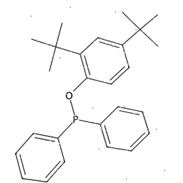 CC(C)(C)c1ccc(OP(c2ccccc2)c2ccccc2)c(C(C)(C)C)c1